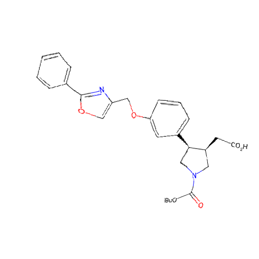 CC(C)COC(=O)N1C[C@H](CC(=O)O)[C@H](c2cccc(OCc3coc(-c4ccccc4)n3)c2)C1